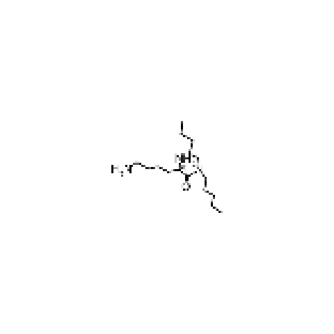 CCCCCN(CCCCC)C(=O)[C@H](N)CCCCN